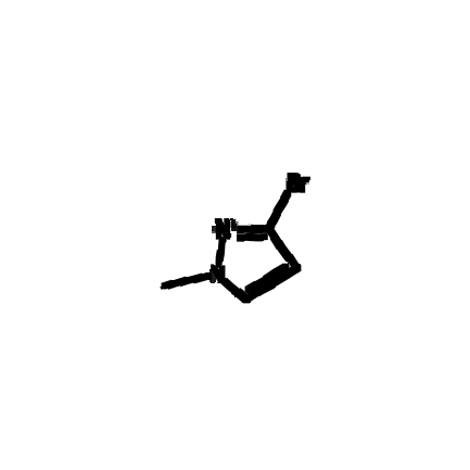 CN1C=CC(Br)=[N+]1